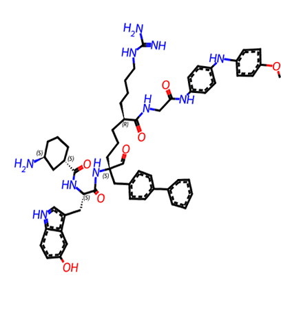 COc1ccc(Nc2ccc(NC(=O)CNC(=O)[C@H](CCCCNC(=N)N)CCC[C@@](C=O)(Cc3ccc(-c4ccccc4)cc3)NC(=O)[C@H](Cc3c[nH]c4ccc(O)cc34)NC(=O)[C@H]3CCC[C@H](N)C3)cc2)cc1